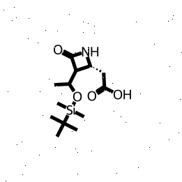 CC(O[Si](C)(C)C(C)(C)C)C1C(=O)N[C@@H]1CC(=O)O